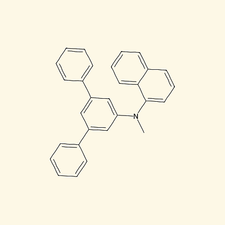 CN(c1cc(-c2ccccc2)cc(-c2ccccc2)c1)c1cccc2ccccc12